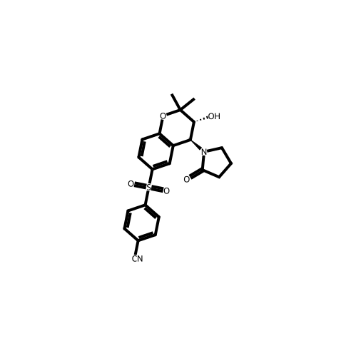 CC1(C)Oc2ccc(S(=O)(=O)c3ccc(C#N)cc3)cc2[C@H](N2CCCC2=O)[C@H]1O